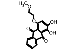 COCCOc1cc(O)c(O)c2c1C(=O)c1ccccc1C2=O